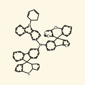 C1=CCC(n2c3ccccc3c3cc(N(c4ccc5c(c4)-c4ccccc4C54c5ccccc5SC5C=CC=CC54)c4ccc5c(c4)C4(c6ccccc6Oc6ccccc64)c4ccccc4-5)ccc32)C=C1